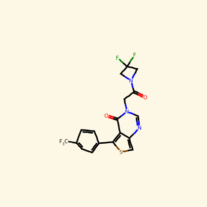 O=C(Cn1cnc2csc(-c3ccc(C(F)(F)F)cc3)c2c1=O)N1CC(F)(F)C1